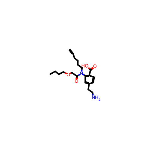 C=CCCCCN(C(=O)COCCCC)c1cc(CCN)ccc1C(=O)O